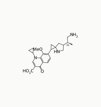 COc1c(C2CC23CC([C@H](C)CN)CN3)ccc2c(=O)c(C(=O)O)cn(C3CC3)c12